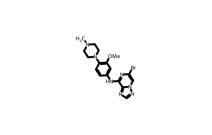 COc1cc(Nc2nc(Br)cn3ncnc23)ccc1N1CCN(C)CC1